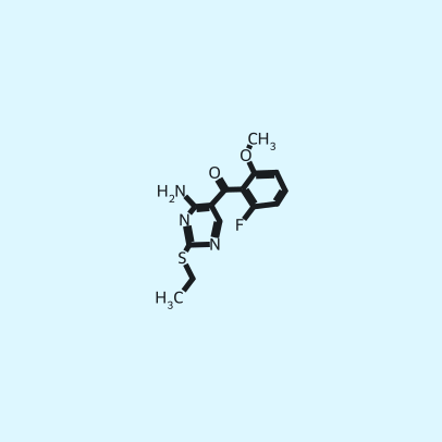 CCSc1ncc(C(=O)c2c(F)cccc2OC)c(N)n1